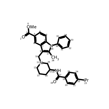 COC(=O)c1ccc2c(c1)c(CN1CCCC(NC(=O)c3ccc(C(C)C)cc3)C1)c(C)n2-c1ccccc1